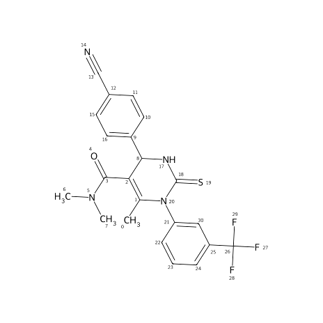 CC1=C(C(=O)N(C)C)C(c2ccc(C#N)cc2)NC(=S)N1c1cccc(C(F)(F)F)c1